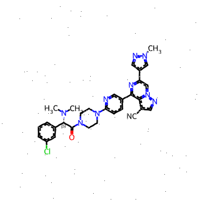 CN(C)[C@H](C(=O)N1CCN(c2ccc(-c3nc(-c4cnn(C)c4)cn4ncc(C#N)c34)cn2)CC1)c1cccc(Cl)c1